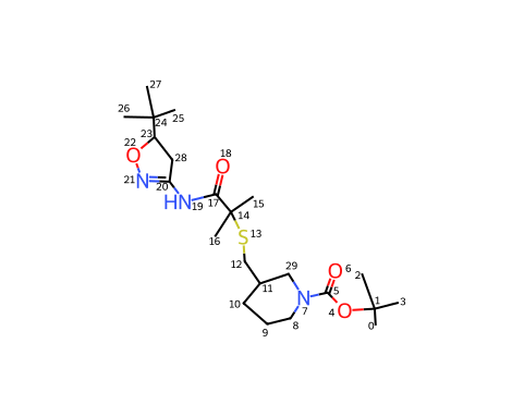 CC(C)(C)OC(=O)N1CCCC(CSC(C)(C)C(=O)NC2=NOC(C(C)(C)C)C2)C1